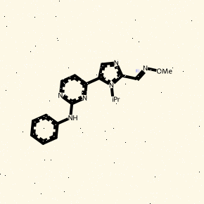 CO/N=C/c1ncc(-c2ccnc(Nc3ccccc3)n2)n1C(C)C